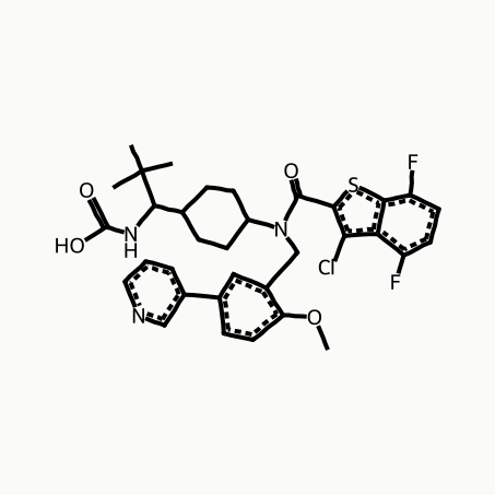 COc1ccc(-c2cccnc2)cc1CN(C(=O)c1sc2c(F)ccc(F)c2c1Cl)C1CCC(C(NC(=O)O)C(C)(C)C)CC1